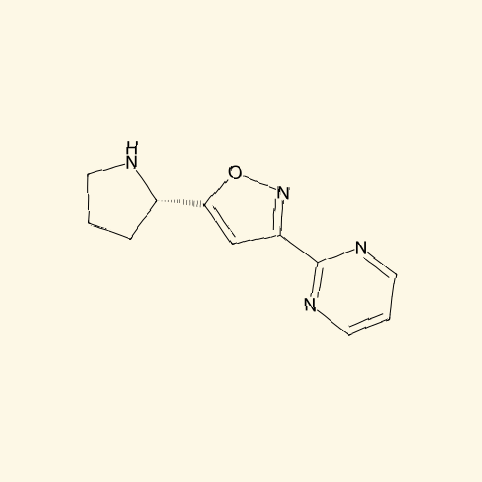 c1cnc(-c2cc([C@@H]3CCCN3)on2)nc1